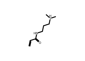 C=CC(=O)NCCC[SH](C)C